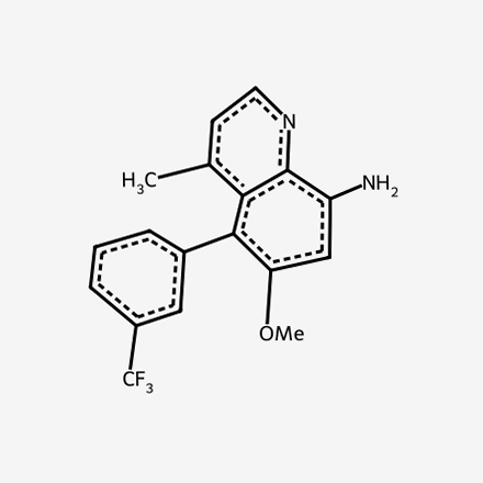 COc1cc(N)c2nccc(C)c2c1-c1cccc(C(F)(F)F)c1